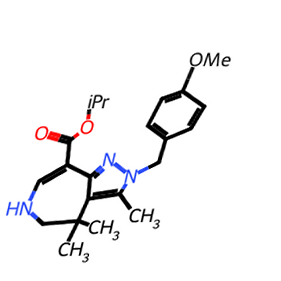 COc1ccc(Cn2nc3c(c2C)C(C)(C)CNC=C3C(=O)OC(C)C)cc1